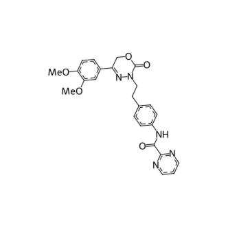 COc1ccc(C2=NN(CCc3ccc(NC(=O)c4ncccn4)cc3)C(=O)OC2)cc1OC